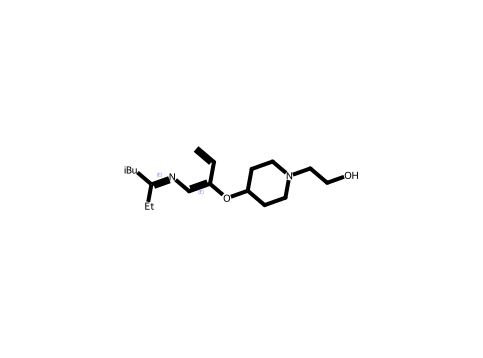 C=C/C(=C\N=C(/CC)C(C)CC)OC1CCN(CCO)CC1